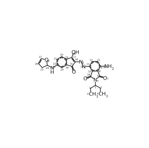 CCC(CC)N1C(=O)c2c(N)ccc(N=NC3=C(O)c4ccc(NC5CC=CO5)cc4C3=O)c2C1=O